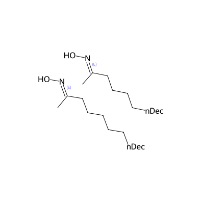 CCCCCCCCCCCCCC/C(C)=N/O.CCCCCCCCCCCCCCC/C(C)=N/O